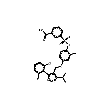 Cc1cc(OCc2c(-c3c(Cl)cccc3Cl)noc2C(C)C)ccc1NS(=O)(=O)c1cccc(C(=O)O)c1